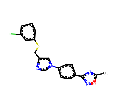 FC(F)(F)c1nc(-c2ccc(-n3cnc(CSc4cccc(Cl)c4)c3)cc2)no1